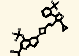 [2H]C([2H])([2H])Oc1cc(C(=O)O)nc2ccc(N3CC(/C=C/c4c(-c5ccccc5C(F)(F)F)noc4C4CC4)C3)cc12